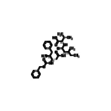 CC[C@H](C)[C@H](NC(=O)C[C@H](NC(=O)OCc1ccccc1)[C@@H](N)Cc1ccccc1)C(=O)N[C@H](C(=O)O)C(C)C